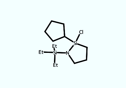 CC[Si](CC)(CC)N1CCC[Si]1(Cl)C1CCCC1